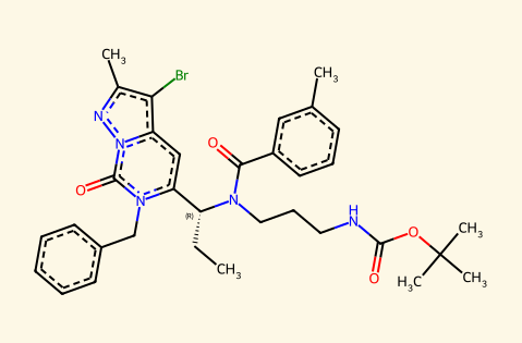 CC[C@H](c1cc2c(Br)c(C)nn2c(=O)n1Cc1ccccc1)N(CCCNC(=O)OC(C)(C)C)C(=O)c1cccc(C)c1